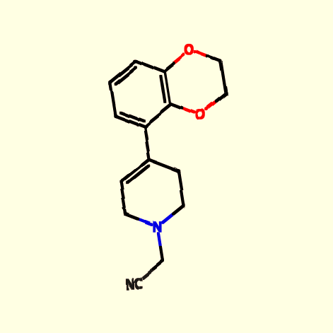 N#CCN1CC=C(c2cccc3c2OCCO3)CC1